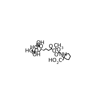 CC(OC(=O)CCC[C@@H](CON(O)O)ON(O)O)OC(=O)NCC1(CC(=O)O)CCCCC1